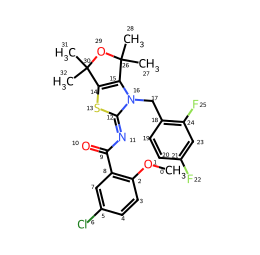 COc1ccc(Cl)cc1C(=O)N=c1sc2c(n1Cc1ccc(F)cc1F)C(C)(C)OC2(C)C